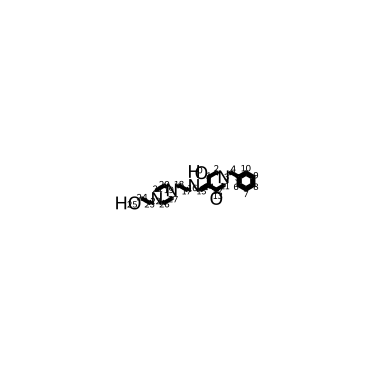 O=C1CN(Cc2ccccc2)CC(=O)C1=CNCCN1CCN(CCO)CC1